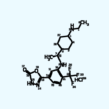 CCNC1CCC([C@H](C)Nc2cc(-c3n[nH]c(=O)o3)ccc2C(F)(F)F)CC1.Cl